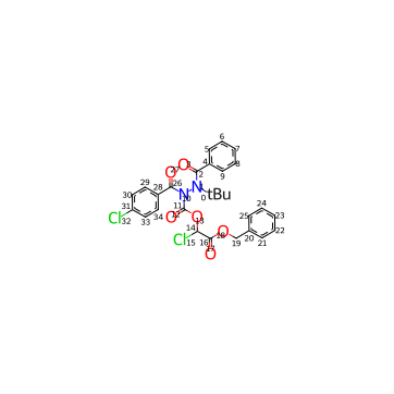 CC(C)(C)N(C(=O)c1ccccc1)N(C(=O)OC(Cl)C(=O)OCc1ccccc1)C(=O)c1ccc(Cl)cc1